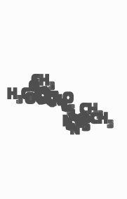 COc1cc2c(cc1OC)CN(C(=O)CSc1ncnc3sc(C)c(C)c13)C2